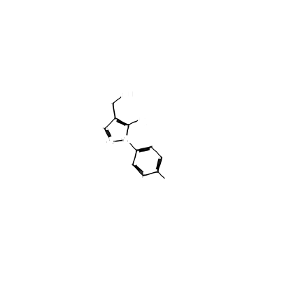 CCc1cnn(-c2ccc(C)cc2)c1O